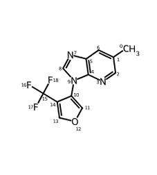 Cc1cnc2c(c1)ncn2-c1cocc1C(F)(F)F